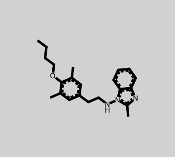 CCCCOc1c(C)cc(CCNn2c(C)nc3ccccc32)cc1C